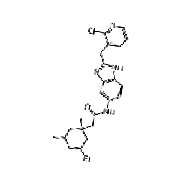 C=C1CC(CC)CC(C)(CC(=O)Nc2ccc3[nH]c(Cc4cccnc4Cl)nc3c2)C1